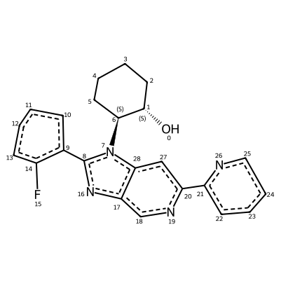 O[C@H]1CCCC[C@@H]1n1c(-c2ccccc2F)nc2cnc(-c3ccccn3)cc21